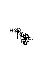 CC[C@@H]1CC[C@@](C)(c2cccc(CNC(=O)CO)n2)c2nnc(-c3c(F)cccc3F)cc21